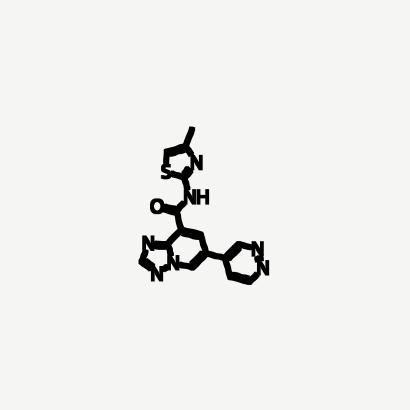 Cc1csc(NC(=O)c2cc(-c3ccnnc3)cn3ncnc23)n1